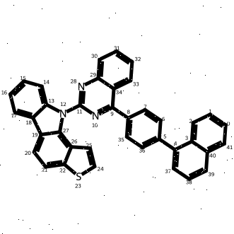 c1ccc2c(-c3ccc(-c4nc(-n5c6ccccc6c6ccc7sccc7c65)nc5ccccc45)cc3)cccc2c1